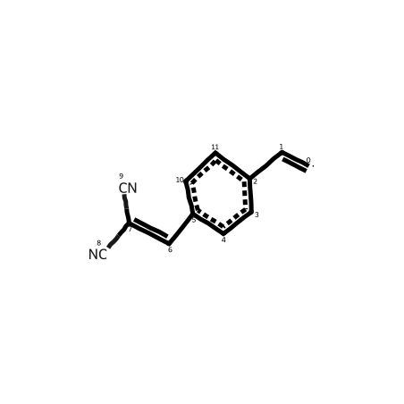 [CH]=Cc1ccc(C=C(C#N)C#N)cc1